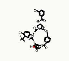 O=C(N[C@@H]1C[C@H]2COc3ccc(cc3)C(=O)N3CC[C@H](OC(=O)N(c4ccc(Cl)c(C(F)(F)F)c4)CC(=O)N2C1)[C@H]3C(=O)O)c1cccc(Cl)c1